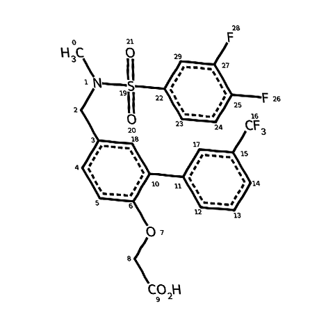 CN(Cc1ccc(OCC(=O)O)c(-c2cccc(C(F)(F)F)c2)c1)S(=O)(=O)c1ccc(F)c(F)c1